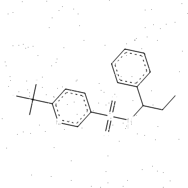 CCC(NS(=O)(=O)c1ccc(C(F)(F)F)nc1)c1ccccc1